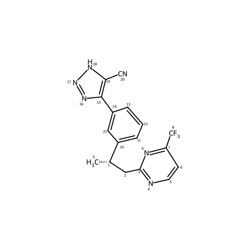 C[C@@H](Cc1nccc(C(F)(F)F)n1)c1cccc(-c2nn[nH]c2C#N)c1